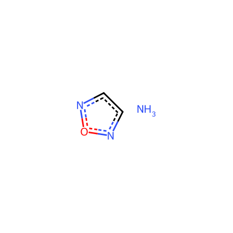 N.c1cnon1